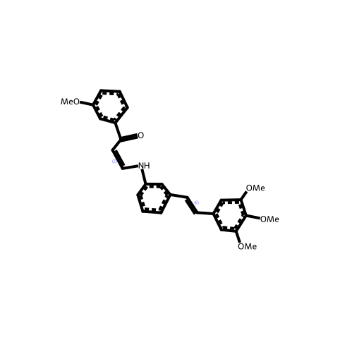 COc1cccc(C(=O)/C=C\Nc2cccc(/C=C/c3cc(OC)c(OC)c(OC)c3)c2)c1